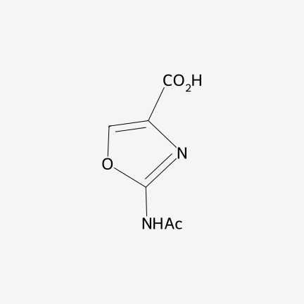 CC(=O)Nc1nc(C(=O)O)co1